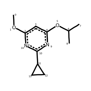 COc1cc(OC(C)C)nc(C2CC2)n1